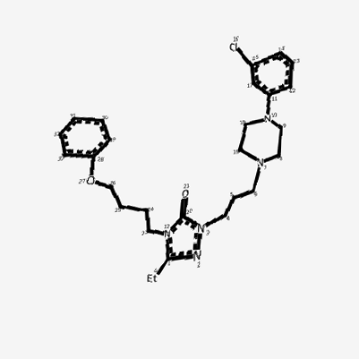 CCc1nn(CCCN2CCN(c3cccc(Cl)c3)CC2)c(=O)n1CCCCOc1ccccc1